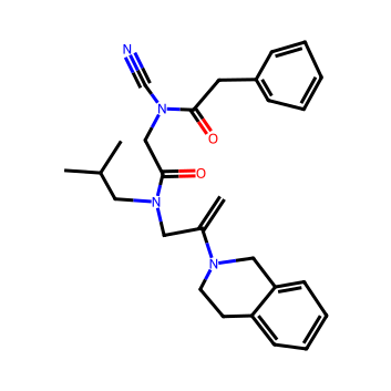 C=C(CN(CC(C)C)C(=O)CN(C#N)C(=O)Cc1ccccc1)N1CCc2ccccc2C1